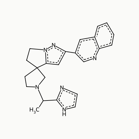 CC(c1ncc[nH]1)N1CCC2(CCn3nc(-c4cnc5ccccc5c4)cc32)C1